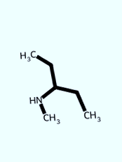 CC[C](CC)NC